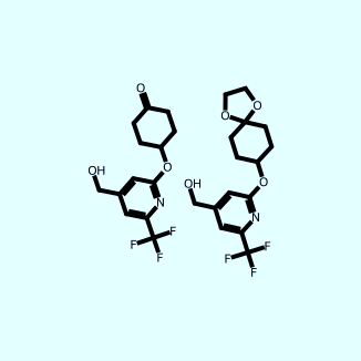 O=C1CCC(Oc2cc(CO)cc(C(F)(F)F)n2)CC1.OCc1cc(OC2CCC3(CC2)OCCO3)nc(C(F)(F)F)c1